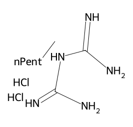 CCCCCC.Cl.Cl.N=C(N)NC(=N)N